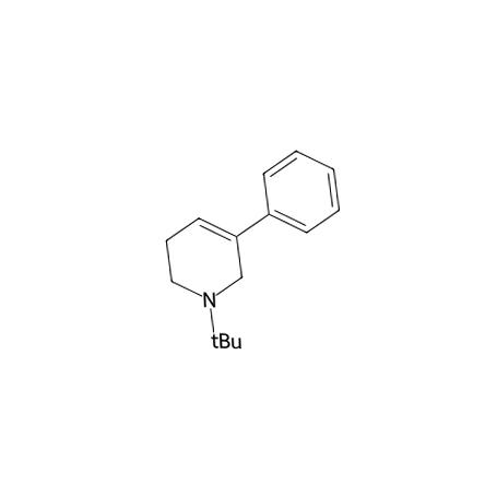 CC(C)(C)N1CCC=C(c2ccccc2)C1